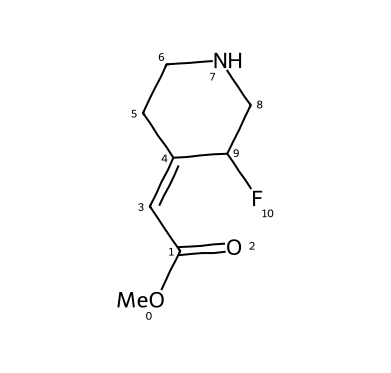 COC(=O)/C=C1/CCNCC1F